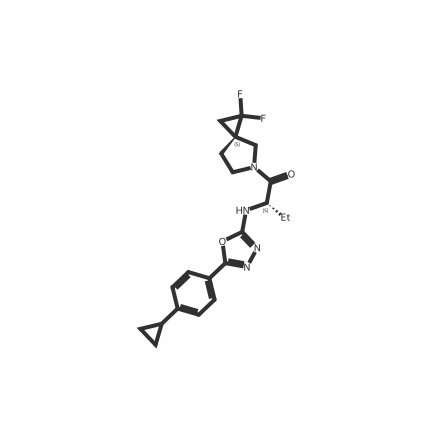 CC[C@H](Nc1nnc(-c2ccc(C3CC3)cc2)o1)C(=O)N1CC[C@@]2(C1)CC2(F)F